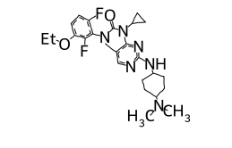 CCOc1ccc(F)c(N2Cc3cnc(NC4CCC(N(C)C)CC4)nc3N(C3CC3)C2=O)c1F